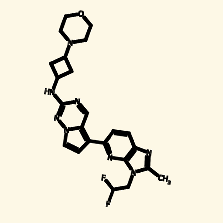 Cc1nc2ccc(-c3ccn4nc(NC5CC(N6CCOCC6)C5)ncc34)nc2n1CC(F)F